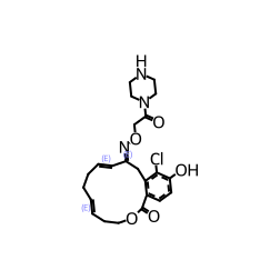 O=C1OCC/C=C/CC/C=C/C(=N/OCC(=O)N2CCNCC2)Cc2c1ccc(O)c2Cl